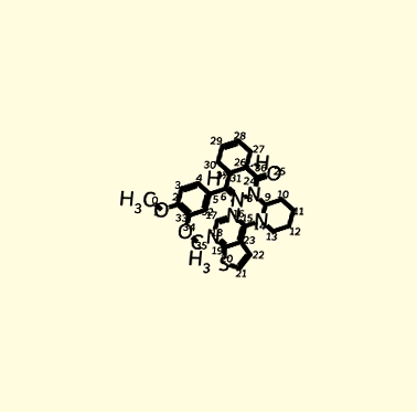 COc1ccc(C2=NN(C3CCCCN3c3ncnc4sccc34)C(=O)[C@@H]3CC=CC[C@H]23)cc1OC